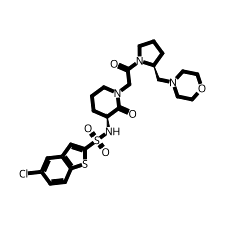 O=C1[C@@H](NS(=O)(=O)c2cc3cc(Cl)ccc3s2)CCCN1CC(=O)N1CCC[C@H]1CN1CCOCC1